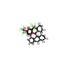 FC(F)(F)c1cc(-c2cccc3cc4ccccc4c(-c4c5ccccc5cc5ccccc45)c23)cc(C(F)(F)F)c1